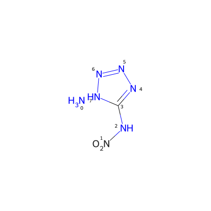 N.O=[N+]([O-])Nc1nnn[nH]1